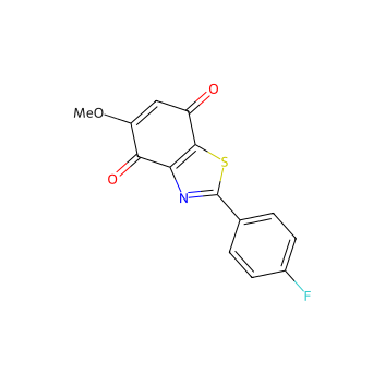 COC1=CC(=O)c2sc(-c3ccc(F)cc3)nc2C1=O